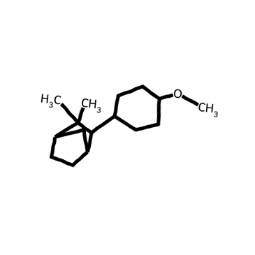 COC1CCC(C2C3CCC(C3)C2(C)C)CC1